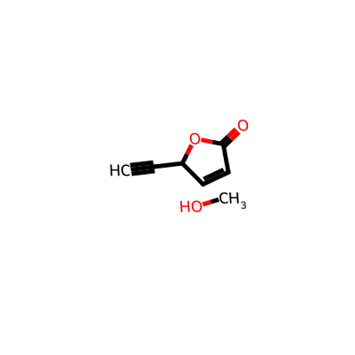 C#CC1C=CC(=O)O1.CO